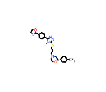 Cn1c(SCCCN2CCO[C@@H](c3ccc(C(F)(F)F)cc3)C2)nnc1-c1ccc(-c2ncco2)cc1